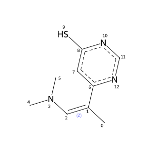 C/C(=C/N(C)C)c1cc(S)ncn1